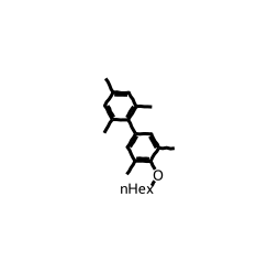 CCCCCCOc1c(C)cc(-c2c(C)cc(C)cc2C)cc1C